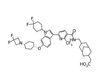 O=C(O)CC1CC2CC(CNC(=O)c3ccc(-c4cn(C5CCC(F)(F)CC5)c5cc(O[C@H]6CC[C@@H](N7CC(F)(F)C7)CC6)ccc45)nc3C(F)(F)F)CC(C1)C2